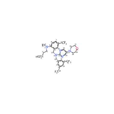 CCN(CCC(=O)O)c1ccc(C(F)(F)F)cc1CN(Cc1cc(C(F)(F)F)cc(C(F)(F)F)c1)c1ncc(N2CCOCC2)cn1